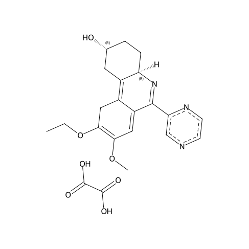 CCOC1=C(OC)C=C2C(c3cnccn3)=N[C@@H]3CC[C@@H](O)CC3=C2C1.O=C(O)C(=O)O